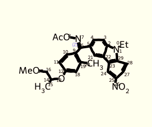 CCn1c2ccc(/C(=N/OC(C)=O)c3ccc(OC(C)COC)cc3C)cc2c2cc([N+](=O)[O-])ccc21